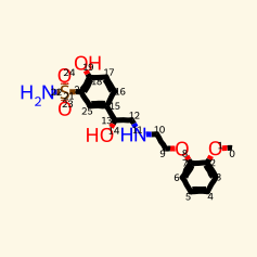 COc1ccccc1OCCNCC(O)c1ccc(O)c(S(N)(=O)=O)c1